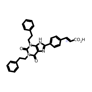 O=C(O)/C=C/c1ccc(-c2nc3c(=O)n(CCc4ccccc4)c(=O)n(CCc4ccccc4)c3[nH]2)cc1